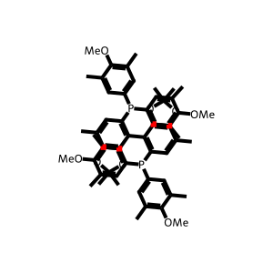 COc1c(C)cc(P(c2cc(C)c(OC)c(C)c2)c2cc(C)c3c(c2-c2c(P(c4cc(C)c(OC)c(C)c4)c4cc(C)c(OC)c(C)c4)cc(C)c4c2OC(C)(C)O4)OC(C)(C)O3)cc1C